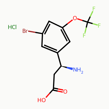 Cl.N[C@@H](CC(=O)O)c1cc(Br)cc(OC(F)(F)F)c1